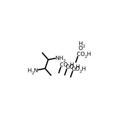 CC(=O)O.CC(=O)O.CC(=O)O.CC(=O)O.CC(N)C(C)N.O